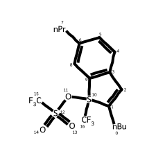 CCCCC1=Cc2ccc(CCC)cc2S1(OS(=O)(=O)C(F)(F)F)C(F)(F)F